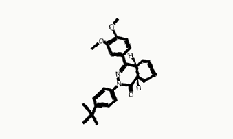 COc1ccc(C2=NN(c3ccc(C(C)(C)C)cc3)C(=O)[C@H]3CC=CC[C@@H]23)cc1OC